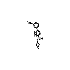 CC1CC(CNc2ccc(-c3cccc(C#N)c3)nn2)C1